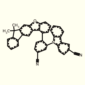 CC1(C)c2ccccc2-c2cc3c(cc21)oc1cccc(-c2ccc(C#N)cc2-n2c4ccccc4c4cc(C#N)ccc42)c13